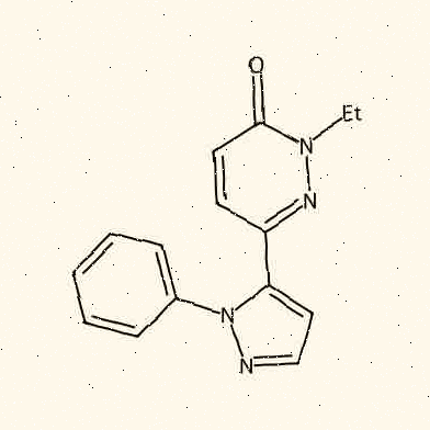 CCn1nc(-c2ccnn2-c2ccccc2)ccc1=O